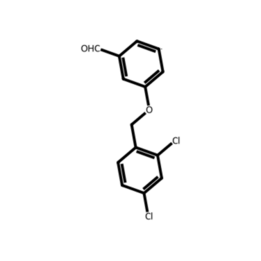 O=Cc1c[c]cc(OCc2ccc(Cl)cc2Cl)c1